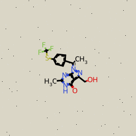 Cc1nc2c(c(CO)nn2[C@H](C)c2ccc(SC(F)(F)F)cc2)c(=O)[nH]1